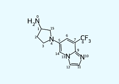 NC1CCN(c2cc(C(F)(F)F)c3nccn3c2)C1